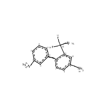 Nc1cccc(-c2ccc(N)cc2C(F)(F)F)c1